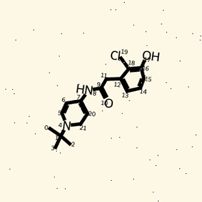 CC(C)(C)N1C=CC(NC(=O)Cc2cccc(O)c2Cl)=CC1